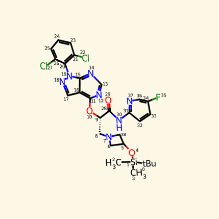 CC(C)(C)[Si](C)(C)OC1CN(C[C@H](Oc2ncnc3c2cnn3-c2c(Cl)cccc2Cl)C(=O)Nc2ccc(F)cn2)C1